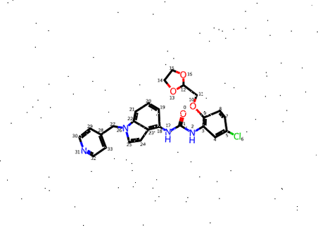 O=C(Nc1cc(Cl)ccc1OCC1OCCO1)Nc1cccc2c1ccn2Cc1ccncc1